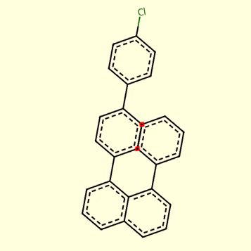 Clc1ccc(-c2ccc(-c3cccc4cccc(-c5ccccc5)c34)cc2)cc1